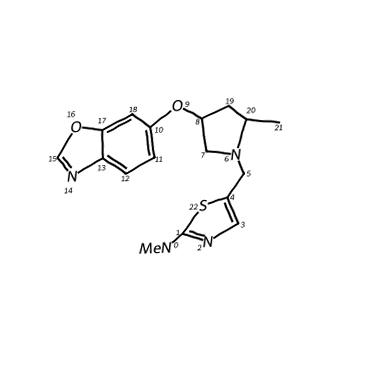 CNc1ncc(CN2CC(Oc3ccc4ncoc4c3)CC2C)s1